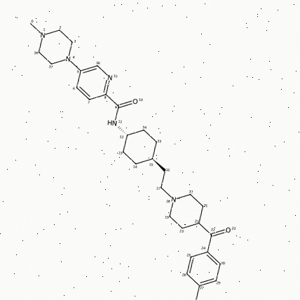 CN1CCN(c2ccc(C(=O)N[C@H]3CC[C@H](CCN4CCC(C(=O)c5ccc(F)cc5)CC4)CC3)nc2)CC1